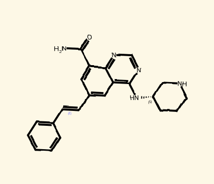 NC(=O)c1cc(/C=C/c2ccccc2)cc2c(N[C@H]3CCCNC3)ncnc12